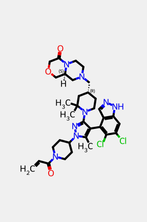 C=CC(=O)N1CCC(n2nc(N3CC[C@@H](CN4CCN5C(=O)COC[C@@H]5C4)CC3(C)C)c(-c3c(Cl)c(Cl)cc4[nH]ncc34)c2C)CC1